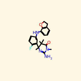 CN1C(=O)C(C)(C)C(C)(c2cc(Nc3cccc4c3OCC4)ccc2F)N=C1N